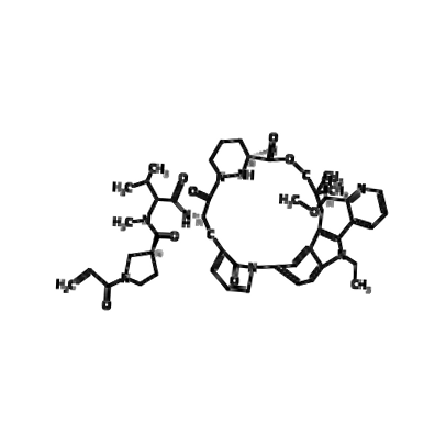 C=CC(=O)N1CC[C@H](C(=O)N(C)C(C(=O)N[C@H]2Cc3cccn(c3=O)-c3ccc4c(c3)c(c(-c3cccnc3[C@H](C)OC)n4CC)CC(C)(C)COC(=O)[C@@H]3CCCN(N3)C2=O)C(C)C)C1